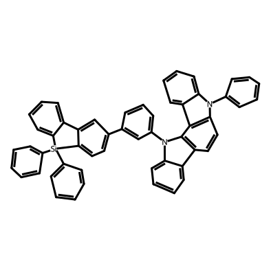 c1ccc(-n2c3ccccc3c3c2ccc2c4ccccc4n(-c4cccc(-c5ccc6c(c5)-c5ccccc5[Si]6(c5ccccc5)c5ccccc5)c4)c23)cc1